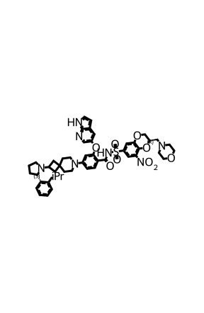 CC(C)c1ccccc1[C@@H]1CCCN1C1CC2(CCN(c3ccc(C(=O)NS(=O)(=O)c4cc5c(c([N+](=O)[O-])c4)O[C@H](CN4CCOCC4)CO5)c(Oc4cnc5[nH]ccc5c4)c3)CC2)C1